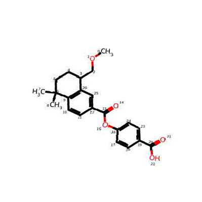 COCC1CCC(C)(C)c2ccc(C(=O)Oc3ccc(C(=O)O)cc3)cc21